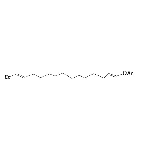 CCC=CCCCCCCCCCCC=COC(C)=O